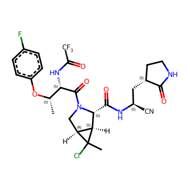 C[C@H](Oc1ccc(F)cc1)[C@H](NC(=O)C(F)(F)F)C(=O)N1C[C@H]2[C@@H]([C@H]1C(=O)N[C@H](C#N)C[C@@H]1CCNC1=O)C2(C)Cl